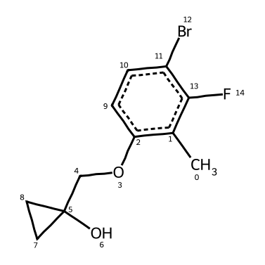 Cc1c(OCC2(O)CC2)ccc(Br)c1F